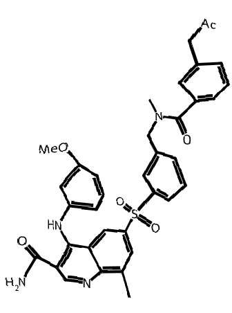 COc1cccc(Nc2c(C(N)=O)cnc3c(C)cc(S(=O)(=O)c4cccc(CN(C)C(=O)c5cccc(CC(C)=O)c5)c4)cc23)c1